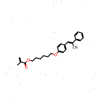 C=C(C)C(=O)OCCCCCCOc1ccc(/C=C(\C#N)c2ccccc2)cc1